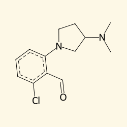 CN(C)C1CCN(c2cccc(Cl)c2C=O)C1